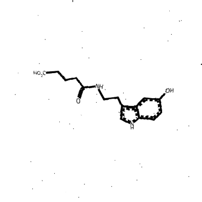 O=C(O)CCCC(=O)NCCc1c[nH]c2ccc(O)cc12